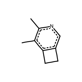 Cc1ncc2c(c1C)CC2